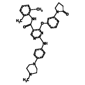 Cc1cccc(C)c1NC(=O)c1cnc(Nc2ccc(N3CCN(C)CC3)cc2)nc1Oc1cccc(N2CCCC2=O)c1